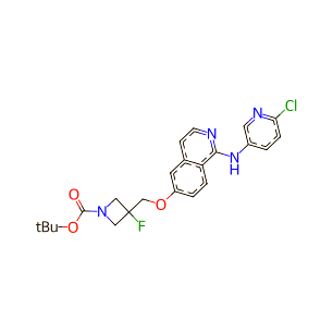 CC(C)(C)OC(=O)N1CC(F)(COc2ccc3c(Nc4ccc(Cl)nc4)nccc3c2)C1